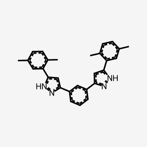 Cc1ccc(C)c(-c2cc(-c3cccc(-c4cc(-c5cc(C)ccc5C)[nH]n4)c3)n[nH]2)c1